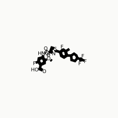 COc1cc(C(=O)O)c(F)cc1NS(=O)(=O)c1csc(-c2ccc(C3CCC(C(F)(F)F)CC3)c(C)c2F)n1